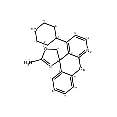 NC1=NC2(CO1)c1ccccc1Oc1nccc(C3CCOCC3)c12